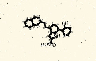 Cc1ccccc1-c1ccc(CCc2ccc3ccccc3c2)c2cc(C(=O)O)[nH]c12